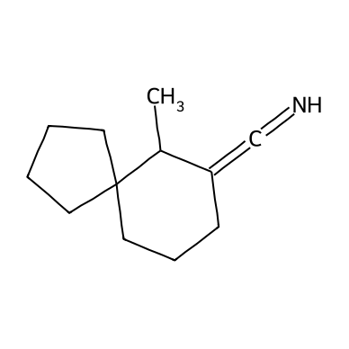 CC1C(=C=N)CCCC12CCCC2